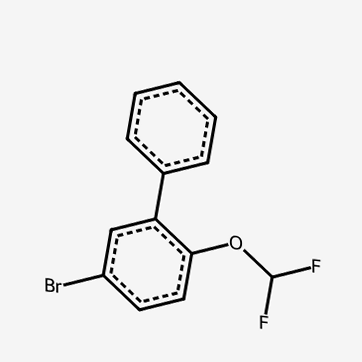 FC(F)Oc1ccc(Br)cc1-c1ccccc1